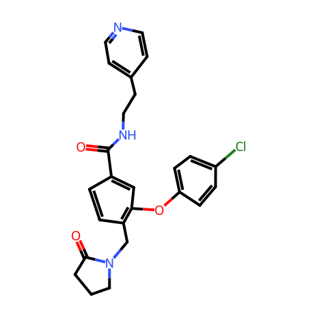 O=C(NCCc1ccncc1)c1ccc(CN2CCCC2=O)c(Oc2ccc(Cl)cc2)c1